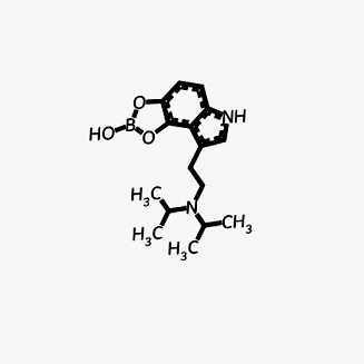 CC(C)N(CCc1c[nH]c2ccc3c(c12)OB(O)O3)C(C)C